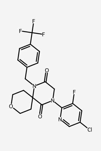 O=C1CN(c2ncc(Cl)cc2F)C(=O)C2(CCOCC2)N1Cc1ccc(C(F)(F)F)cc1